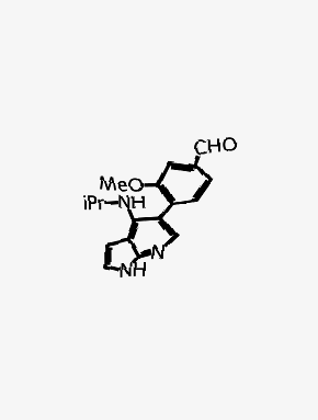 COc1cc(C=O)ccc1-c1cnc2[nH]ccc2c1NC(C)C